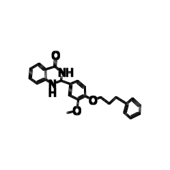 COc1cc(C2NC(=O)c3ccccc3N2)ccc1OCCCc1ccccc1